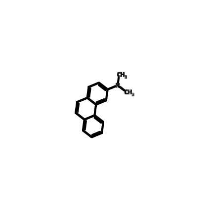 CN(C)c1ccc2ccc3ccccc3c2c1